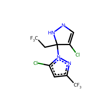 FC(F)(F)CC1(n2nc(C(F)(F)F)cc2Cl)N[N]C=C1Cl